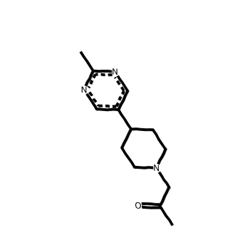 CC(=O)CN1CCC(c2cnc(C)nc2)CC1